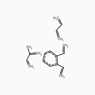 C=CC(=C)C.C=CC=C.C=Cc1ccccc1C=C